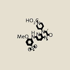 COc1ccc(S(C)(=O)=O)cc1Nc1ccc2c(n1)N(C1CCN(C(=O)O)CC1)[C@H](C)C(=O)N2C